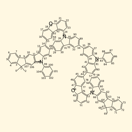 CC1(C)c2ccccc2-c2cc3c4cc(-c5ccc6oc7cccc(-n8c9ccccc9c9cc(-c%10ccc%11c(c%10)c%10cc(-c%12ccc%13oc%14cccc(-n%15c%16ccccc%16c%16cc%17c(cc%16%15)C(C)(C)c%15ccccc%15-%17)c%14c%13c%12)ccc%10n%11-c%10ccccc%10)ccc98)c7c6c5)ccc4n(-c4ccccc4)c3cc21